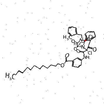 CCCCCCCCCCCCOC(=O)c1cccc(NC(=O)C(Cl)(C(=O)c2ccccc2C)N2C(=O)C(OC)N(Cc3ccccc3)C2=O)c1